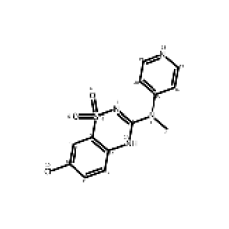 CN(C1=NS(=O)(=O)c2cc(Cl)ccc2N1)c1ccncc1